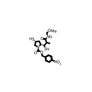 COCNC(=O)C(C)C(S)[C@@H]1C[C@@H](S)CN1C(=O)OCc1ccc([N+](=O)[O-])cc1